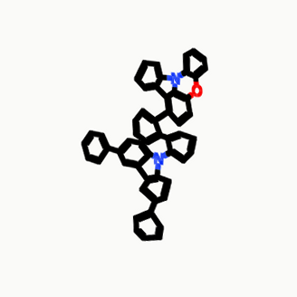 c1ccc(-c2ccc3c(c2)c2cc(-c4ccccc4)ccc2n3-c2ccccc2-c2ccccc2-c2ccc3c4c2c2ccccc2n4-c2ccccc2O3)cc1